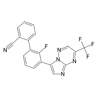 N#Cc1ccccc1-c1cccc(-c2cnc3nc(C(F)(F)F)cnn23)c1F